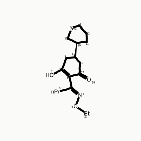 CCCC(=NOCC)C1=C(O)CC([C@@H]2CCCSC2)CC1=O